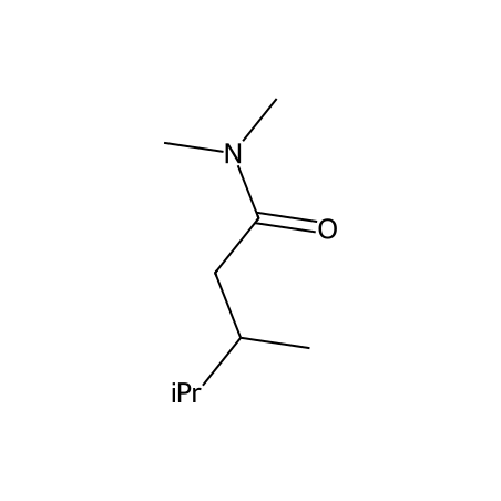 CC(C)C(C)CC(=O)N(C)C